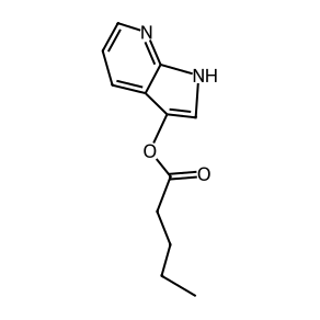 CCCCC(=O)Oc1c[nH]c2ncccc12